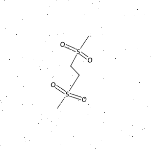 [CH2]S(=O)(=O)CCS(C)(=O)=O